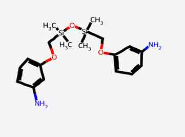 C[Si](C)(COc1cccc(N)c1)O[Si](C)(C)COc1cccc(N)c1